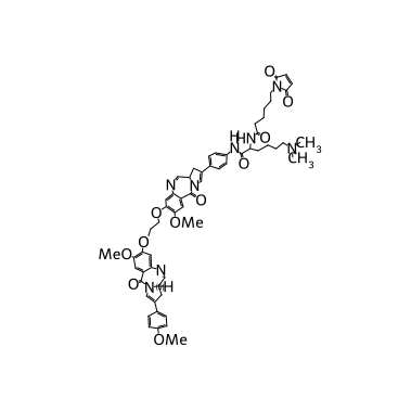 COc1ccc(C2=CN3C(=O)c4cc(OC)c(OCCCOc5cc6c(cc5OC)C(=O)N5C=C(c7ccc(NC(=O)C(CCCCN(C)C)NC(=O)CCCCCN8C(=O)C=CC8=O)cc7)CC5C=N6)cc4N=C[C@@H]3C2)cc1